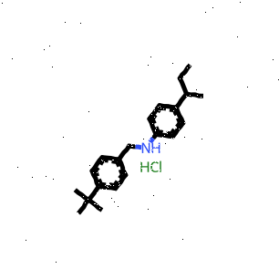 CCC(C)c1ccc(NCc2ccc(C(C)(C)C)cc2)cc1.Cl